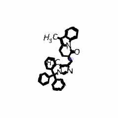 Cc1c2n(c3ccccc13)C(=O)/C(=C/c1ncn(C(c3ccccc3)(c3ccccc3)c3ccccc3)c1C)CC2